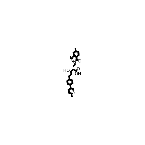 Cc1ccc2c(=O)n(CC[C@H](C(=O)O)[C@H](O)CCc3ccc(-c4ccc(C)nc4)cc3)nnc2c1